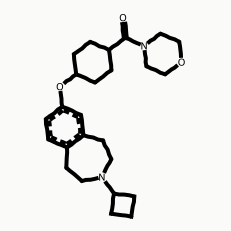 O=C(C1CCC(Oc2ccc3c(c2)CCN(C2CCC2)CC3)CC1)N1CCOCC1